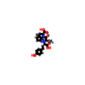 C[C@H](N[C@@H](CCc1ccc(O)cc1)C(=O)O)C(=O)N1[C@H](C(=O)O)C[C@@H]2CCC[C@@H]21